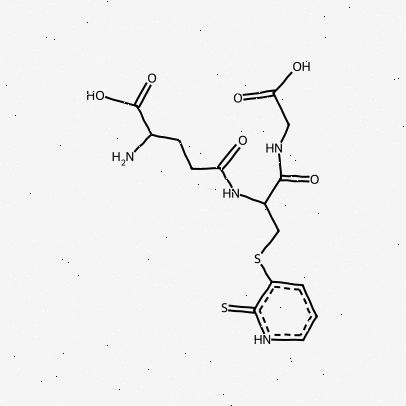 NC(CCC(=O)NC(CSc1ccc[nH]c1=S)C(=O)NCC(=O)O)C(=O)O